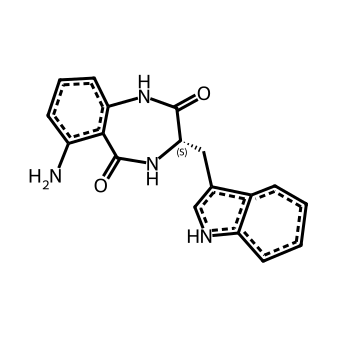 Nc1cccc2c1C(=O)N[C@@H](Cc1c[nH]c3ccccc13)C(=O)N2